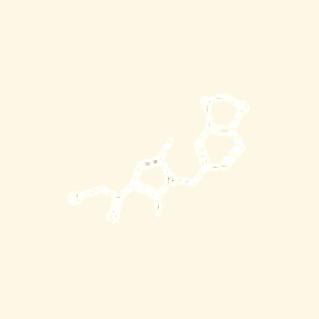 Cc1cc(C(=O)CCl)c(C)n1Cc1ccc2c(c1)OCO2